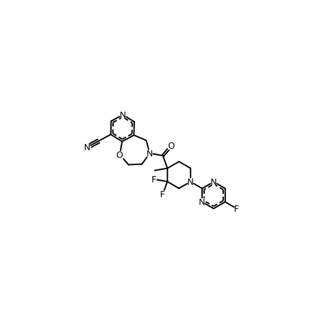 CC1(C(=O)N2CCOc3c(C#N)cncc3C2)CCN(c2ncc(F)cn2)CC1(F)F